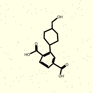 O=C(O)c1ccc(C(=O)O)c(C2CCC(CO)CC2)c1